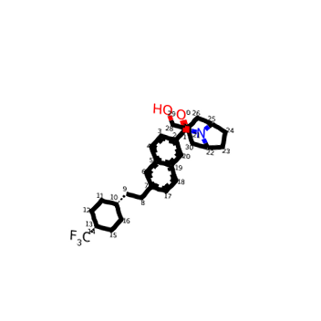 O=C(c1ccc2cc(CC[C@H]3CC[C@@H](C(F)(F)F)CC3)ccc2c1)N1C2CCC1CC(CO)C2